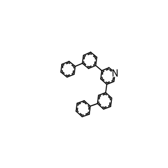 c1ccc(-c2cccc(-c3cncc(-c4cccc(-c5ccccc5)c4)c3)c2)cc1